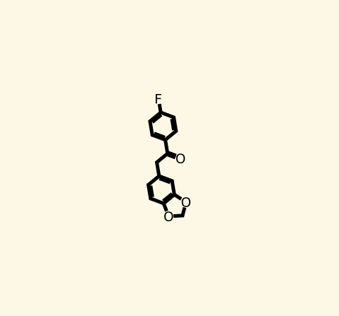 O=C(Cc1ccc2c(c1)OCO2)c1ccc(F)cc1